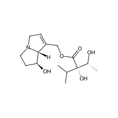 CC(C)[C@@](O)(C(=O)OCC1=CCN2CC[C@H](O)[C@@H]12)[C@@H](C)O